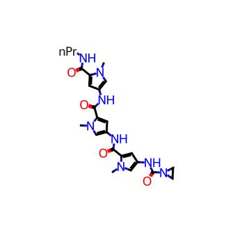 [CH2]CCNC(=O)c1cc(NC(=O)c2cc(NC(=O)c3cc(NC(=O)N4CC4)cn3C)cn2C)cn1C